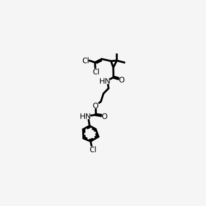 CC1(C)C(C=C(Cl)Cl)C1C(=O)NCCCOC(=O)Nc1ccc(Cl)cc1